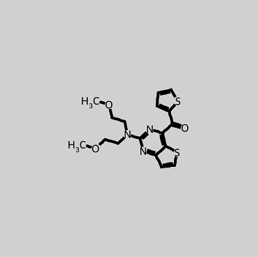 COCCN(CCOC)c1nc(C(=O)c2cccs2)c2sccc2n1